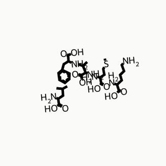 CC(C)C(N)C(=O)O.CC(C)CC(N)C(=O)O.CSCCC(N)C(=O)O.NC(Cc1ccccc1)C(=O)O.NCCCCC(N)C(=O)O